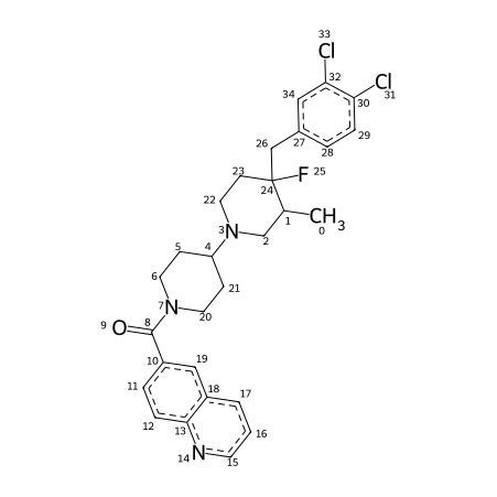 CC1CN(C2CCN(C(=O)c3ccc4ncccc4c3)CC2)CCC1(F)Cc1ccc(Cl)c(Cl)c1